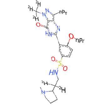 [2H]C([2H])(CNS(=O)(=O)c1ccc(OCCC)c(-c2nc3c(CCC)nn(C([2H])([2H])[2H])c3c(=O)[nH]2)c1)C1CCCN1C